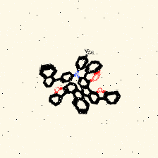 CC(C)(C)c1ccc(N(c2ccc(-c3cccc4ccccc34)cc2)c2cc3c(c4oc5ccccc5c24)-c2c(ccc4c2oc2ccccc24)C32c3ccccc3-c3c2ccc2oc4ccccc4c32)cc1